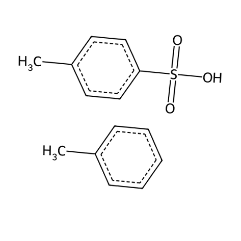 Cc1ccc(S(=O)(=O)O)cc1.Cc1ccccc1